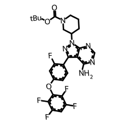 CC(C)(C)OC(=O)N1CCCC(n2nc(-c3ccc(Oc4c(F)c(F)cc(F)c4F)cc3F)c3c(N)ncnc32)C1